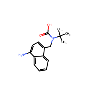 CC(C)(C)N(Cc1ccc(N)c2ccccc12)C(=O)O